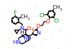 Cc1cc(Cl)c(OCCOc2ncc(C3=C(C(=O)N(Cc4cccc(F)c4C)C4CC4)[C@H]4CNCC(C3)N4)s2)c(Cl)c1